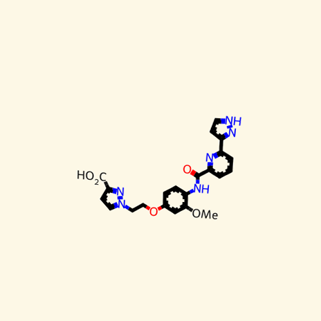 COc1cc(OCCn2ccc(C(=O)O)n2)ccc1NC(=O)c1cccc(-c2cc[nH]n2)n1